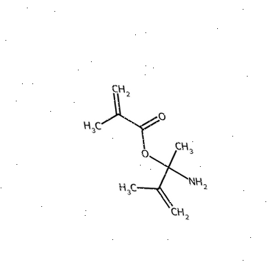 C=C(C)C(=O)OC(C)(N)C(=C)C